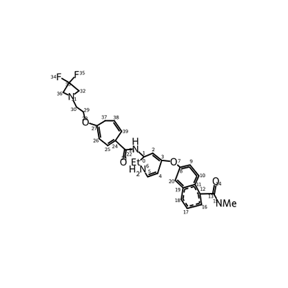 CCC(/C=C(\C=C/N)OC1=C=C=c2c(C(=O)NC)cccc2=C1)NC(=O)C1=CC=C(OCCN2CC(F)(F)C2)CC=C1